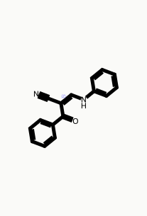 N#C/C(=C/Nc1ccccc1)C(=O)c1ccccc1